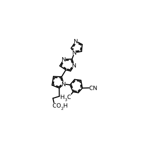 Cc1cc(C#N)ccc1-n1c(CCC(=O)O)ccc1-c1cnc(-n2ccnc2)nc1